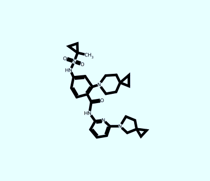 CC1(S(=O)(=O)Nc2ccc(C(=O)Nc3cccc(N4CCC5(CC5)C4)n3)c(N3CCC4(CC3)CC4)c2)CC1